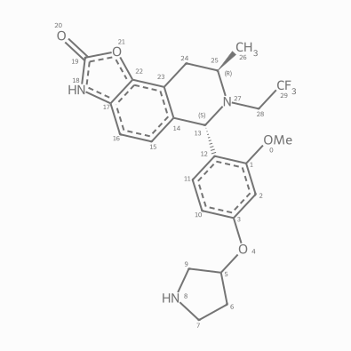 COc1cc(OC2CCNC2)ccc1[C@@H]1c2ccc3[nH]c(=O)oc3c2C[C@@H](C)N1CC(F)(F)F